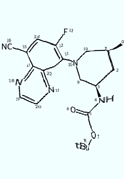 C[C@H]1C[C@@H](NC(=O)OC(C)(C)C)CN(c2c(F)cc(C#N)c3nccnc23)C1